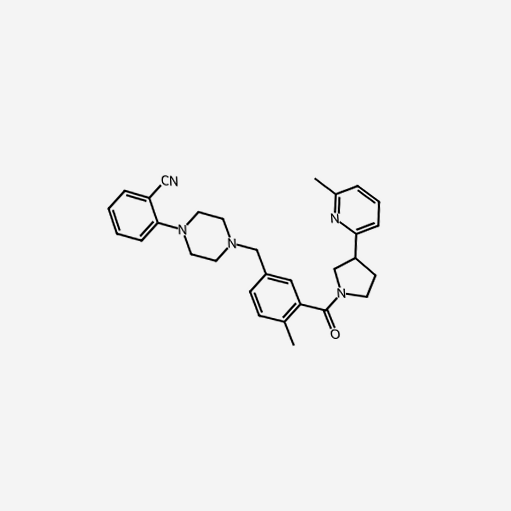 Cc1cccc(C2CCN(C(=O)c3cc(CN4CCN(c5ccccc5C#N)CC4)ccc3C)C2)n1